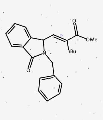 CCCC/C(=C\C1c2ccccc2C(=O)N1Cc1ccccc1)C(=O)OC